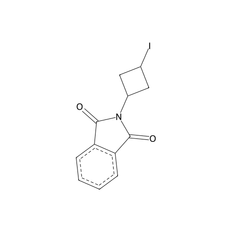 O=C1c2ccccc2C(=O)N1C1CC(I)C1